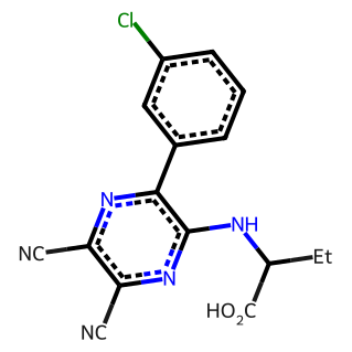 CCC(Nc1nc(C#N)c(C#N)nc1-c1cccc(Cl)c1)C(=O)O